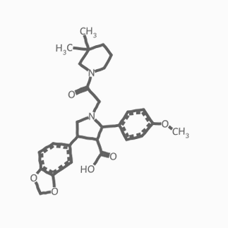 COc1ccc(C2C(C(=O)O)C(c3ccc4c(c3)OCO4)CN2CC(=O)N2CCCC(C)(C)C2)cc1